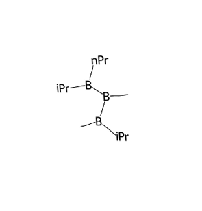 CCCB(B(C)B(C)C(C)C)C(C)C